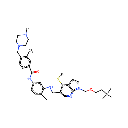 CCN1CCN(Cc2ccc(C(=O)Nc3ccc(C)c(NCc4cnc5c(ccn5COCC[Si](C)(C)C)c4SC(C)C)c3)cc2C(F)(F)F)CC1